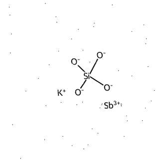 [K+].[O-][Si]([O-])([O-])[O-].[Sb+3]